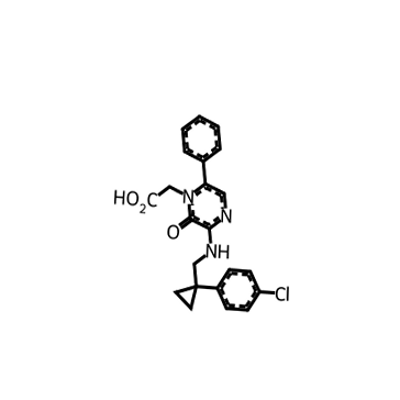 O=C(O)Cn1c(-c2ccccc2)cnc(NCC2(c3ccc(Cl)cc3)CC2)c1=O